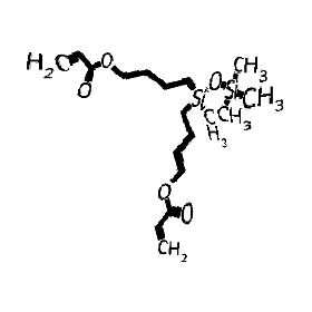 C=CC(=O)OCCCC[Si](C)(CCCCOC(=O)C=C)O[Si](C)(C)C